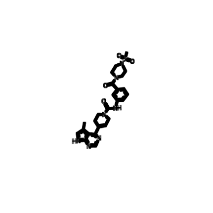 Cc1c[nH]c2ncnc(C3=CCN(C(=O)Nc4cccc(C(=O)N5CCN(S(C)(=O)=O)CC5)c4)CC3)c12